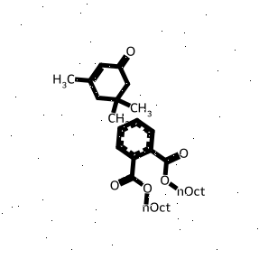 CC1=CC(=O)CC(C)(C)C1.CCCCCCCCOC(=O)c1ccccc1C(=O)OCCCCCCCC